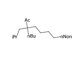 CCCCCCCCCCCCCC(CCCC)(CC(C)C)C(C)=O